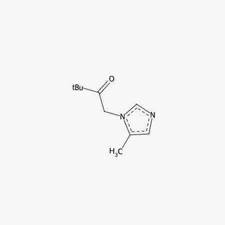 Cc1cncn1CC(=O)C(C)(C)C